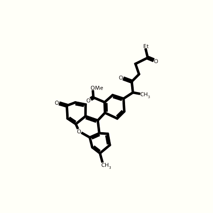 CCC(=O)CCC(=O)C(C)c1ccc(-c2c3ccc(=O)cc-3oc3cc(C)ccc23)c(C(=O)OC)c1